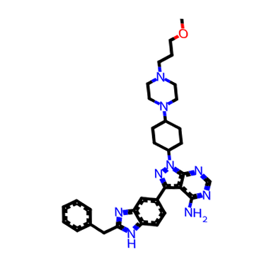 COCCCN1CCN(C2CCC(n3nc(-c4ccc5[nH]c(Cc6ccccc6)nc5c4)c4c(N)ncnc43)CC2)CC1